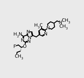 CCC[C@H](CF)Oc1nc(N)c2ncc(Cc3cnc(N4CCC(CN(C)C)CC4)c(C)c3)n2n1